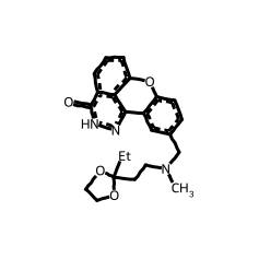 CCC1(CCN(C)Cc2ccc3c(c2)-c2n[nH]c(=O)c4cccc(c24)O3)OCCO1